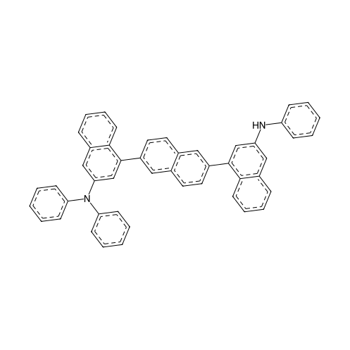 c1ccc(Nc2cc(-c3ccc4cc(-c5cc(N(c6ccccc6)c6ccccc6)cc6ccccc56)ccc4c3)c3ccccc3c2)cc1